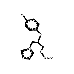 CCCCCCCSCC(Cn1ccnc1)Sc1ccc(Cl)cc1